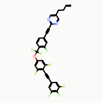 C=CCCc1cnc(C#Cc2ccc(C(F)(F)Oc3cc(F)c(C#Cc4cc(F)c(F)c(F)c4)c(F)c3)c(F)c2)nc1